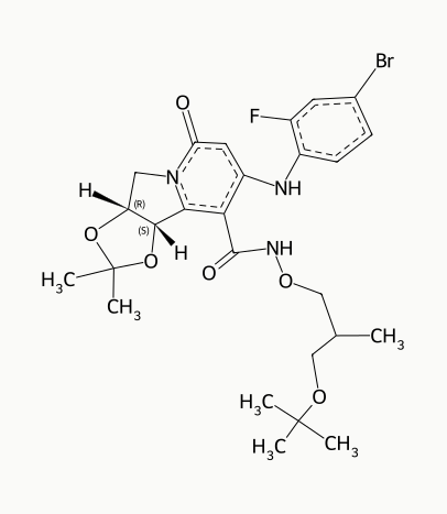 CC(CONC(=O)c1c(Nc2ccc(Br)cc2F)cc(=O)n2c1[C@@H]1OC(C)(C)O[C@@H]1C2)COC(C)(C)C